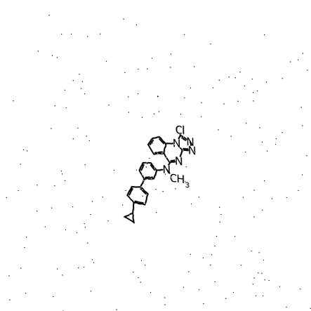 CN(c1cccc(-c2ccc(C3CC3)cc2)c1)c1nc2nnc(Cl)n2c2ccccc12